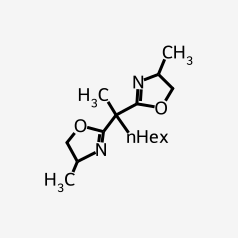 CCCCCCC(C)(C1=NC(C)CO1)C1=NC(C)CO1